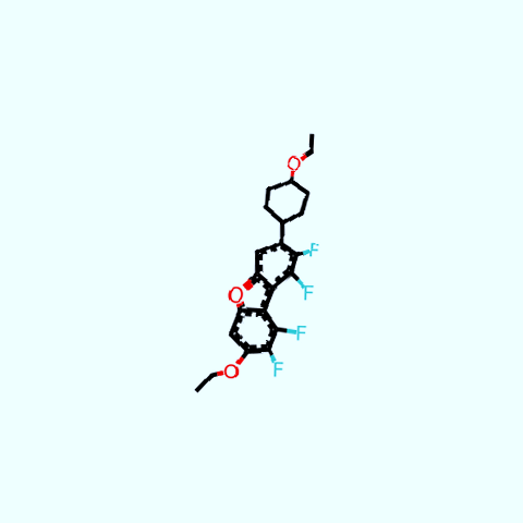 CCOc1cc2oc3cc(C4CCC(OCC)CC4)c(F)c(F)c3c2c(F)c1F